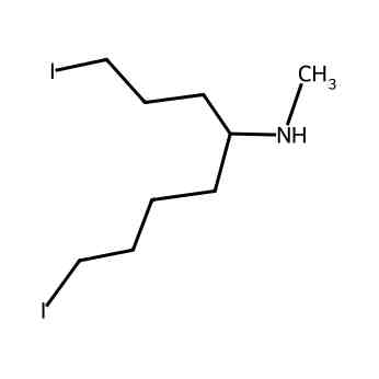 CNC(CCCI)CCCCI